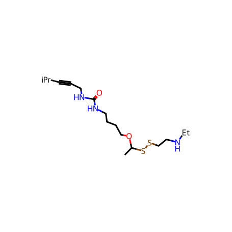 CCNCCSSC(C)OCCCCNC(=O)NCC#CC(C)C